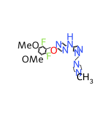 COc1cc(OC)c(F)c(COc2cnc(Nc3cnn(CCN4CCN(C)CC4)c3)cn2)c1F